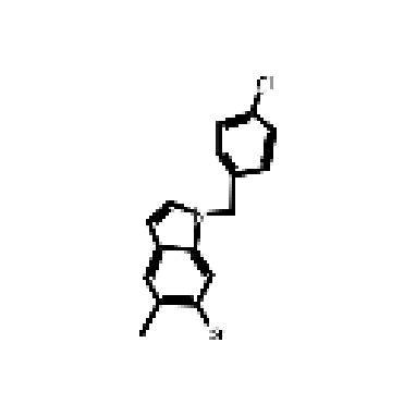 Cc1cc2ccn(Cc3ccc(Cl)cc3)c2cc1Br